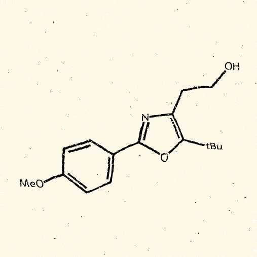 COc1ccc(-c2nc(CCO)c(C(C)(C)C)o2)cc1